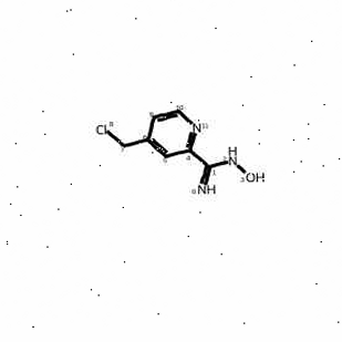 N=C(NO)c1cc(CCl)ccn1